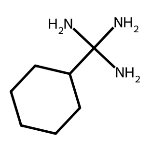 NC(N)(N)C1CCCCC1